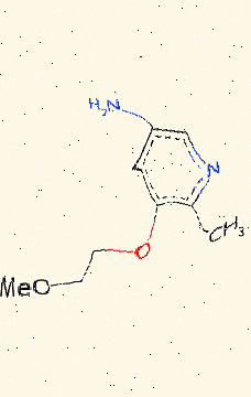 COCCOc1cc(N)cnc1C